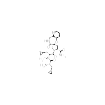 CN(C(=O)[C@@H](N)CC1CC1)[C@@H](CC1CC1)C(=O)N1C[C@@]2(C[C@H]1C(N)=O)Oc1cccnc1CNC2=O